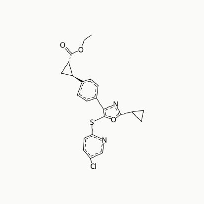 CCOC(=O)[C@H]1C[C@@H]1c1ccc(-c2nc(C3CC3)oc2Sc2ccc(Cl)cn2)cc1